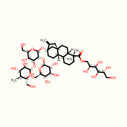 C=C1C[C@@]23CC[C@H]4[C@@](C)(CCC[C@@]4(C)C(=O)OC[C@H](O)[C@@H](O)[C@H](O)[C@H](O)CO)[C@@H]2CC[C@]1(O[C@@H]1O[C@H](CO)[C@@H](O)[C@H](O[C@@H]2O[C@H](CO)[C@@H](C)[C@H](O)[C@H]2O)[C@H]1O[C@@H]1O[C@H](CO)[C@@H](O)[C@H](O)[C@H]1O)C3